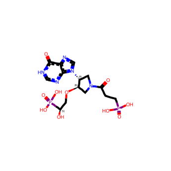 O=C(CCP(=O)(O)O)N1C[C@@H](n2cnc3c(=O)[nH]cnc32)[C@H](OC[C@@H](O)P(=O)(O)O)C1